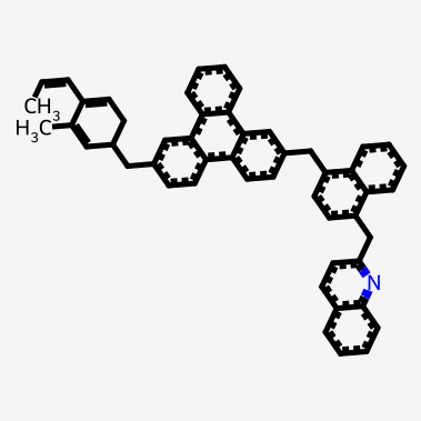 C/C=C\C1=CCC(Cc2ccc3c4ccc(Cc5ccc(Cc6ccc7ccccc7n6)c6ccccc56)cc4c4ccccc4c3c2)C=C1C